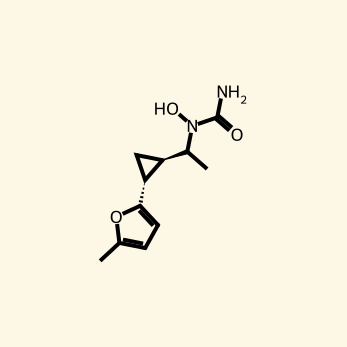 Cc1ccc([C@@H]2C[C@H]2C(C)N(O)C(N)=O)o1